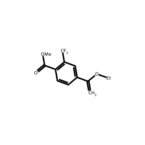 C=C(OCC)c1ccc(C(=O)OC)c(C(F)(F)F)c1